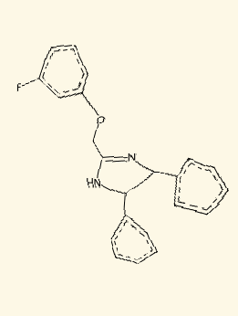 Fc1cccc(OCC2=NC(c3ccccc3)C(c3ccccc3)N2)c1